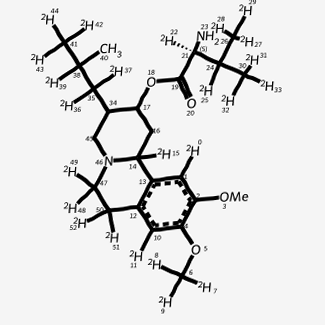 [2H]c1c(OC)c(OC([2H])([2H])[2H])c([2H])c2c1C1([2H])CC(OC(=O)[C@@]([2H])(N)C([2H])(C([2H])([2H])[2H])C([2H])([2H])[2H])C(C([2H])([2H])C([2H])(C)C([2H])([2H])[2H])CN1C([2H])([2H])C2([2H])[2H]